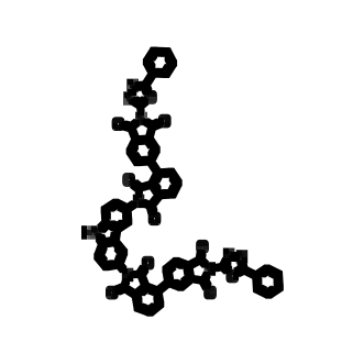 O=C1c2cccc(-c3ccc4c(c3)C(=O)N(c3nnc(-c5ccccc5)o3)C4=O)c2C(=O)N1c1ccc2[nH]c3ccc(N4C(=O)c5cccc(-c6ccc7c(c6)C(=O)N(c6nnc(-c8ccccc8)o6)C7=O)c5C4=O)cc3c2c1